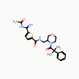 CC(C)(C(=O)N1CCOCC1CNC(=O)c1ccc(C(=N)NC(=O)C(F)(F)F)s1)c1ccccc1